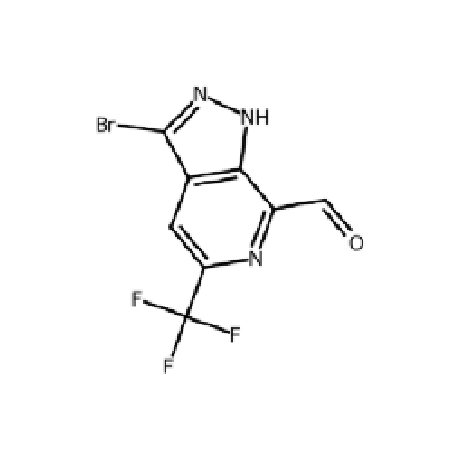 O=Cc1nc(C(F)(F)F)cc2c(Br)n[nH]c12